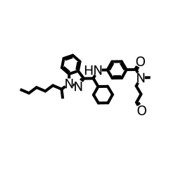 CCCCCC(C)n1nc(C(Nc2ccc(C(=O)N(C)CCC=O)cc2)C2CCCCC2)c2ccccc21